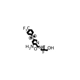 Nc1cc(S(=O)(=O)c2ccc(C(F)(F)F)cc2)cnc1C(=O)NCC(F)(F)CO